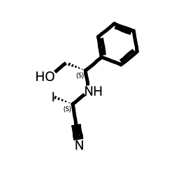 N#C[C@H](I)N[C@H](CO)c1ccccc1